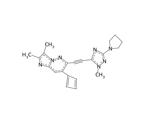 Cc1nc2cc(C3=CC=C3)c(C#Cc3nc(N4CCCC4)nn3C)nn2c1C